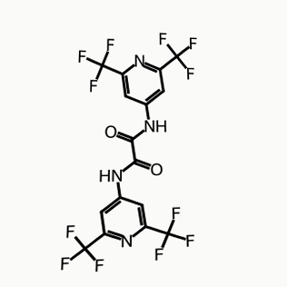 O=C(Nc1cc(C(F)(F)F)nc(C(F)(F)F)c1)C(=O)Nc1cc(C(F)(F)F)nc(C(F)(F)F)c1